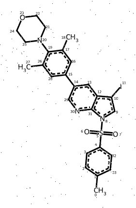 Cc1ccc(S(=O)(=O)n2cc(I)c3cc(-c4cc(C)c(N5CCOCC5)c(C)c4)cnc32)cc1